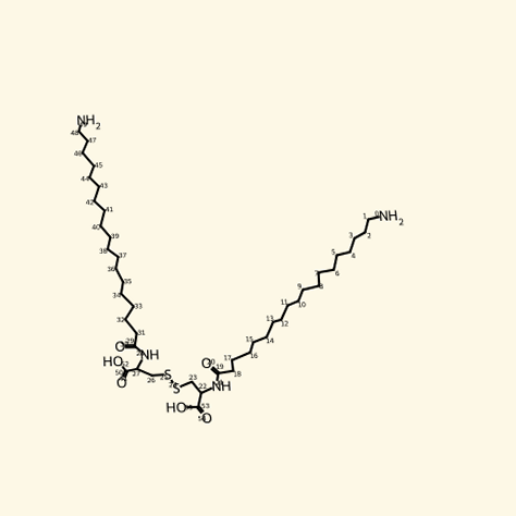 NCCCCCCCCCCCCCCCCCCC(=O)NC(CSSCC(NC(=O)CCCCCCCCCCCCCCCCCCN)C(=O)O)C(=O)O